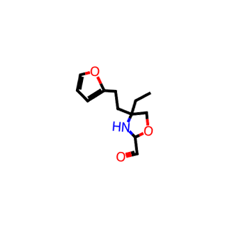 CCC1(CCc2ccco2)COC(C=O)N1